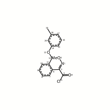 CO/N=C(/C(=O)Cl)c1ccccc1COc1cccc(C)c1